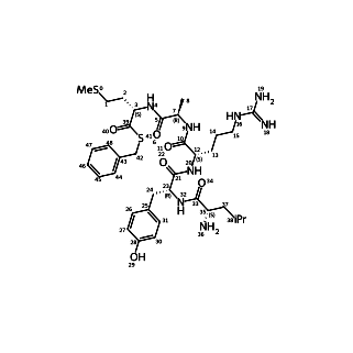 CSCC[C@H](NC(=O)[C@@H](C)NC(=O)[C@H](CCCNC(=N)N)NC(=O)[C@@H](Cc1ccc(O)cc1)NC(=O)[C@@H](N)CC(C)C)C(=O)SCc1ccccc1